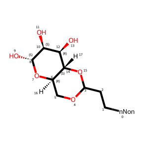 CCCCCCCCCCCC1OC[C@H]2O[C@H](O)[C@@H](O)[C@@H](O)[C@@H]2O1